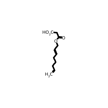 C=CCCCC=CCOC(=O)CC(=O)O